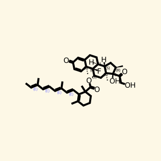 C/C=C(C)/C=C/C=C(C)/C=C/C1=C(C)CCCC1(C)C(=O)O[C@H]1C[C@@]2(C)[C@@H](C[C@@H](C)[C@]2(O)C(=O)CO)[C@@H]2CCC3=CC(=O)C=C[C@]3(C)[C@@]12F